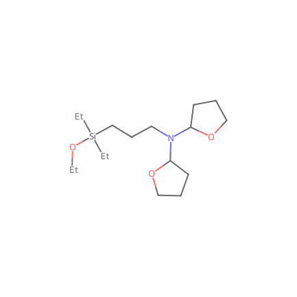 CCO[Si](CC)(CC)CCCN(C1CCCO1)C1CCCO1